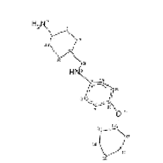 NC1CCC(CNc2ccc(OC3CCCCC3)cc2)CC1